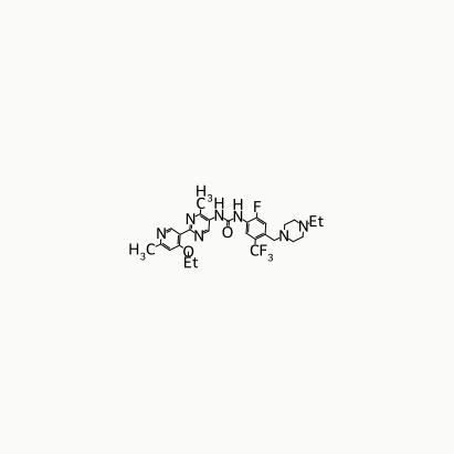 CCOc1cc(C)ncc1-c1ncc(NC(=O)Nc2cc(C(F)(F)F)c(CN3CCN(CC)CC3)cc2F)c(C)n1